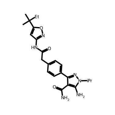 CCC(C)(C)c1cc(NC(=O)Cc2ccc(-c3nn(C(C)C)c(N)c3C(N)=O)cc2)no1